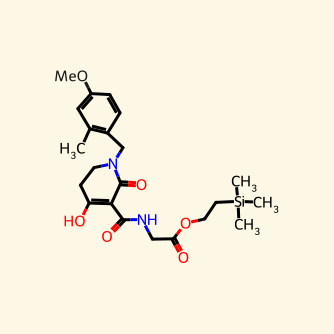 COc1ccc(CN2CCC(O)=C(C(=O)NCC(=O)OCC[Si](C)(C)C)C2=O)c(C)c1